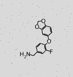 NCc1ccc(Oc2ccc3c(c2)OCO3)c(F)c1